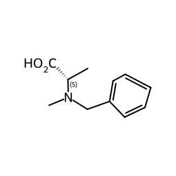 C[C@@H](C(=O)O)N(C)Cc1ccccc1